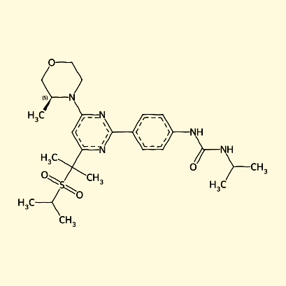 CC(C)NC(=O)Nc1ccc(-c2nc(N3CCOC[C@@H]3C)cc(C(C)(C)S(=O)(=O)C(C)C)n2)cc1